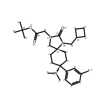 CN(C)[C@]1(c2cccc(F)c2)CC[C@@]2(CC1)CN(CC(=O)OC(C)(C)C)C(=O)N2CC1CCC1